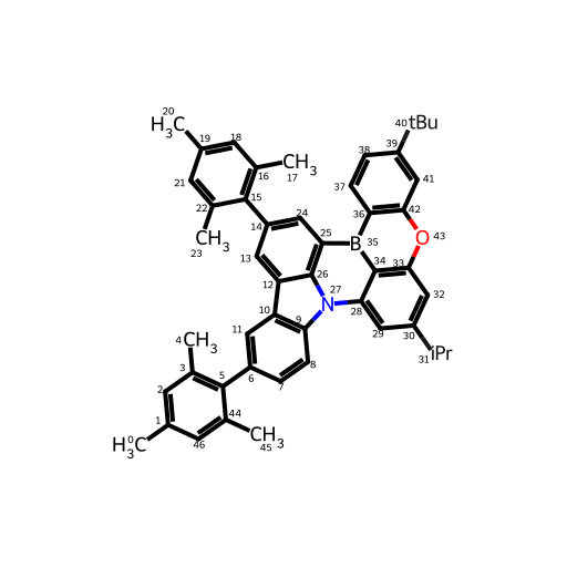 Cc1cc(C)c(-c2ccc3c(c2)c2cc(-c4c(C)cc(C)cc4C)cc4c2n3-c2cc(C(C)C)cc3c2B4c2ccc(C(C)(C)C)cc2O3)c(C)c1